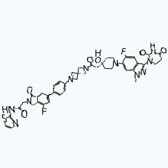 Cn1nc(N2CCC(=O)NC2=O)c2cc(F)c(N3CCC(O)(CC(=O)N4CC5(C4)CN(c4ccc(-c6cc(F)c7c(c6)C(=O)N(CC(=O)Nc6nccs6)C7)cc4)C5)CC3)cc21